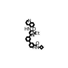 CCn1nc(-c2cccc(-c3cccc(C(=O)NC4CCC4)c3)c2)cc(Nc2cccc3ncccc23)c1=O